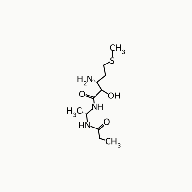 CCC(=O)N[C@H](C)NC(=O)C(O)[C@H](N)CCSC